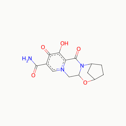 NC(=O)c1cn2c(c(O)c1=O)C(=O)N1C3CCC(C3)OC1C2